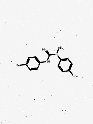 CCCCc1ccc(NC(=N)N(CCCC)c2ccc(CCCC)cc2)cc1